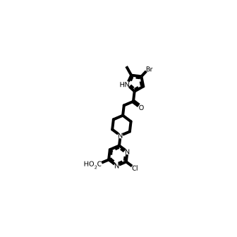 Cc1[nH]c(C(=O)CC2CCN(c3cc(C(=O)O)nc(Cl)n3)CC2)cc1Br